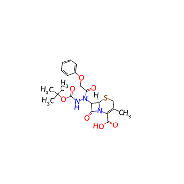 CC1=C(C(=O)O)N2C(=O)C(N(NC(=O)OC(C)(C)C)C(=O)COc3ccccc3)[C@H]2SC1